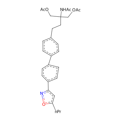 CCCc1cc(-c2ccc(-c3ccc(CCC(COC(C)=O)(COC(C)=O)NC(C)=O)cc3)cc2)no1